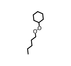 CCCCCOOC1CCCCC1